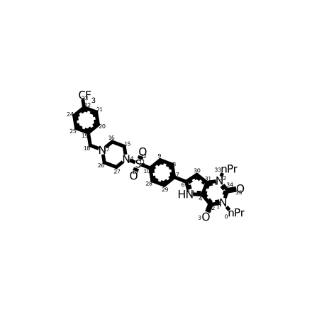 CCCn1c(=O)c2[nH]c(-c3ccc(S(=O)(=O)N4CCN(Cc5ccc(C(F)(F)F)cc5)CC4)cc3)cc2n(CCC)c1=O